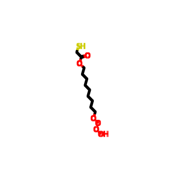 O=C(CS)OCCCCCCCCCOOOO